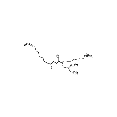 CCCCCCCCCCCCCCCCC(C)CCC(=O)N(CCCCCCCCCCCCCCCC)CC(O)CO